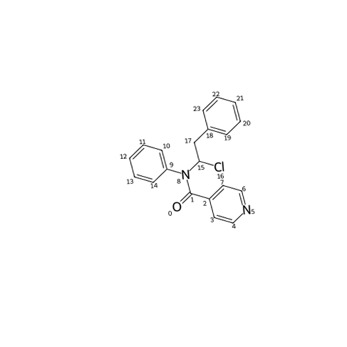 O=C(c1ccncc1)N(c1ccccc1)C(Cl)Cc1ccccc1